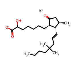 CCCCC(C)(C)C/C=C/[C@H]1[C@H](C)CC(=O)[C@@H]1CCCCCC(O)C(=O)[O-].[K+]